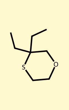 CCC1(CC)COCCS1